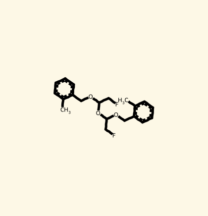 Cc1ccccc1COC(CF)OC(CF)OCc1ccccc1C